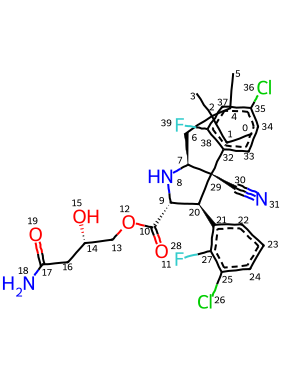 CCC(C)(CC)C[C@@H]1N[C@@H](C(=O)OC[C@@H](O)CC(N)=O)[C@H](c2cccc(Cl)c2F)[C@@]1(C#N)c1ccc(Cl)cc1F